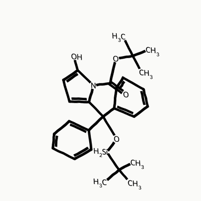 CC(C)(C)OC(=O)n1c(O)ccc1C(O[SiH2]C(C)(C)C)(c1ccccc1)c1ccccc1